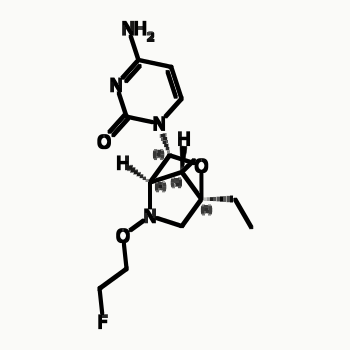 CC[C@@]12CN(OCCF)[C@@H]([C@H](n3ccc(N)nc3=O)O1)[C@@H]2C